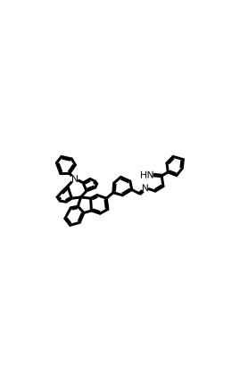 N=C(/C=C\N=C\c1cccc(-c2ccc3c(c2)C2(c4ccccc4-3)c3ccccc3N(c3ccccc3)c3ccccc32)c1)c1ccccc1